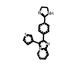 c1ccn2c(-c3ccsc3)c(-c3ccc(C4=NCCN4)cc3)nc2c1